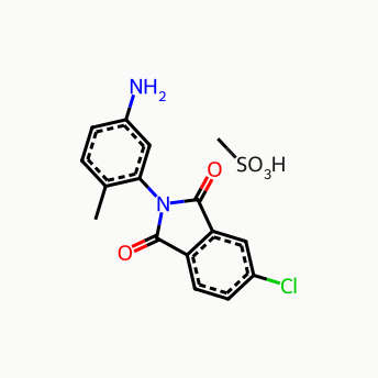 CS(=O)(=O)O.Cc1ccc(N)cc1N1C(=O)c2ccc(Cl)cc2C1=O